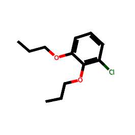 CCCOc1cc[c]c(Cl)c1OCCC